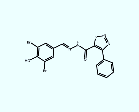 O=C(NN=Cc1cc(Br)c(O)c(Br)c1)c1snnc1-c1ccccc1